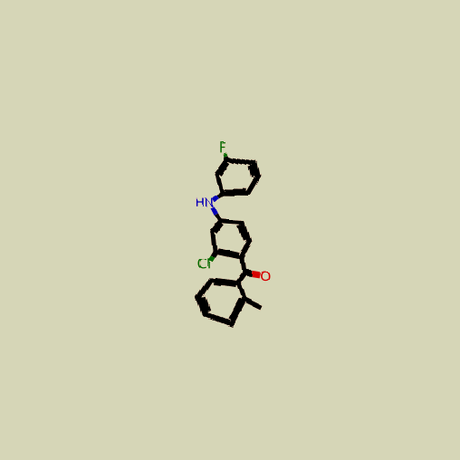 Cc1ccccc1C(=O)c1ccc(Nc2cccc(F)c2)cc1Cl